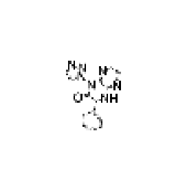 O=C1C(c2ccccc2)Nc2nccnc2N1n1ccnn1